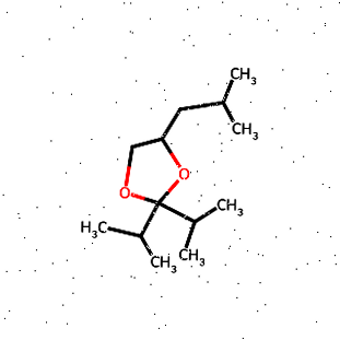 CC(C)CC1COC(C(C)C)(C(C)C)O1